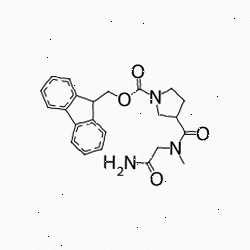 CN(CC(N)=O)C(=O)C1CCN(C(=O)OCC2c3ccccc3-c3ccccc32)C1